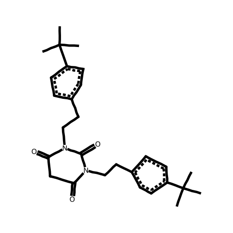 CC(C)(C)c1ccc(CCN2C(=O)CC(=O)N(CCc3ccc(C(C)(C)C)cc3)C2=O)cc1